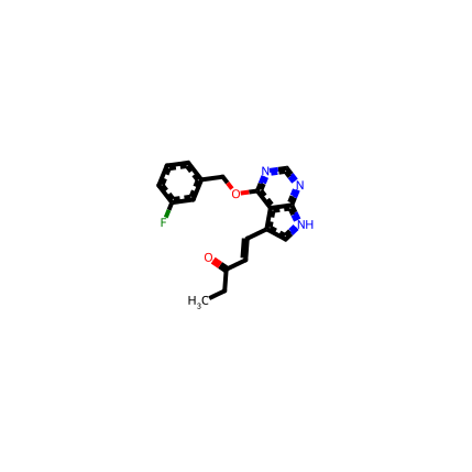 CCC(=O)C=Cc1c[nH]c2ncnc(OCc3cccc(F)c3)c12